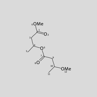 COC(=O)CC(C)OC(=O)CC(C)OC